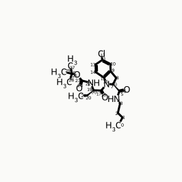 CCCCNC(=O)[C@@H]1Cc2cc(Cl)ccc2N1C(=O)[C@@H](CC)NC(=O)OC(C)(C)C